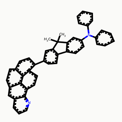 CC1(C)c2cc(-c3ccc4ccc5cc6cccnc6c6ccc3c4c56)ccc2-c2ccc(N(c3ccccc3)c3ccccc3)cc21